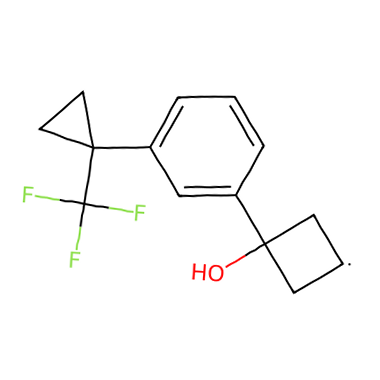 OC1(c2cccc(C3(C(F)(F)F)CC3)c2)C[CH]C1